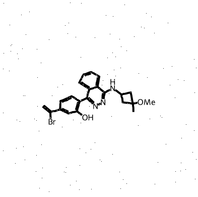 C=C(Br)c1ccc(-c2nnc(NC3CC(C)(OC)C3)c3ccccc23)c(O)c1